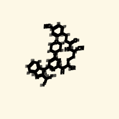 CCC(CCC(C#N)NC(=O)CCc1ccc(C#N)cc1)Nc1nc(N2CCOCC2)cc(-n2c(C(F)F)nc3ccccc32)n1